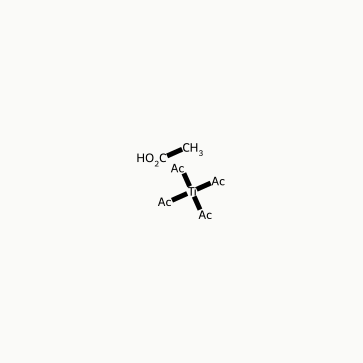 CC(=O)O.C[C](=O)[Ti]([C](C)=O)([C](C)=O)[C](C)=O